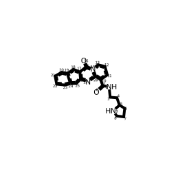 O=C(NCCC1CCCN1)c1cccn2c(=O)c3cc4ccccc4cc3nc12